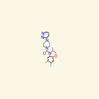 Cc1cc2c(cc1F)OCC(C)N2C(=O)N1CCN(c2cccnn2)CC1